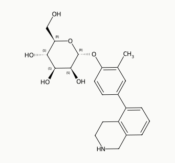 Cc1cc(-c2cccc3c2CCNC3)ccc1O[C@H]1O[C@H](CO)[C@@H](O)[C@H](O)[C@@H]1O